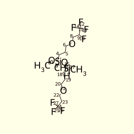 CO[Si](C)(CCCOCC(F)C(F)(F)F)O[SiH](C)CCCOCCC(F)(F)F